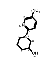 O=[N+]([O-])c1ccc(N2CCCC(O)C2)nc1